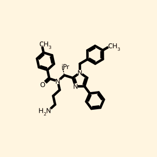 Cc1ccc(Cn2cc(-c3ccccc3)nc2[C@@H](C(C)C)N(CCCN)C(=O)c2ccc(C)cc2)cc1